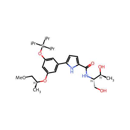 COC[C@H](C)Oc1cc(O[Si](C(C)C)(C(C)C)C(C)C)cc(-c2ccc(C(=O)N[C@@H](CO)[C@H](C)O)[nH]2)c1